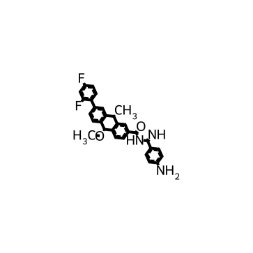 CO[C@@H]1c2ccc(C(=O)NC(=N)c3ccc(N)cc3)cc2[C@H](C)c2cc(-c3ccc(F)cc3F)ccc21